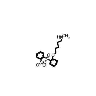 CNCCCCCOc1ccccc1S(=O)(=O)c1ccccc1[N+](=O)[O-]